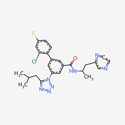 CC(C)Cc1nnnn1-c1cc(C(=O)NC(C)Cc2cnccn2)cc(-c2ccc(F)cc2Cl)c1